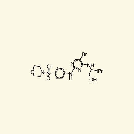 CC(C)C(CO)Nc1nc(Nc2ccc(S(=O)(=O)N3CCOCC3)cc2)ncc1Br